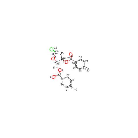 Cc1ccc(C(=O)OC[C@@H]2O[C@@H](Cl)C[C@H]2OC(=O)c2ccc(C)cc2)cc1